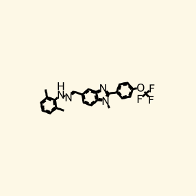 Cc1cccc(C)c1N/N=C/c1ccc2c(c1)nc(-c1ccc(OC(F)(F)F)cc1)n2C